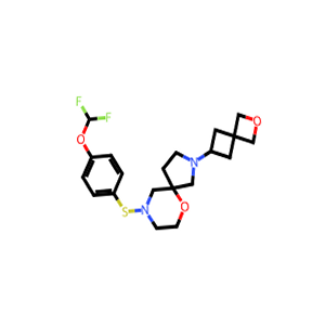 FC(F)Oc1ccc(SN2CCOC3(CCN(C4CC5(COC5)C4)C3)C2)cc1